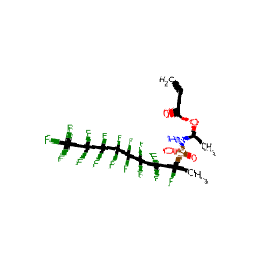 C=CC(=O)OC(C)NS(=O)(=O)C(C)(F)C(F)(F)C(F)(F)C(F)(F)C(F)(F)C(F)(F)C(F)(F)C(F)(F)F